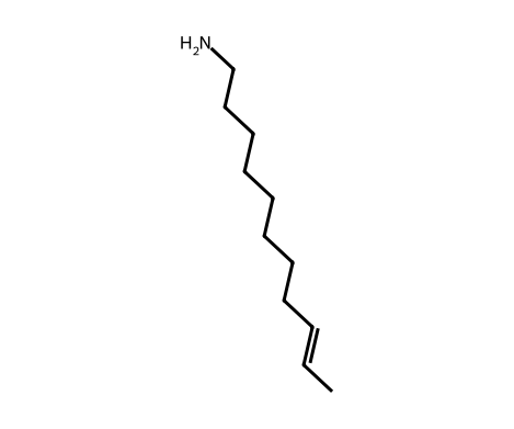 CC=CCCCCCCCCN